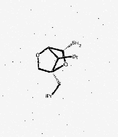 B[C@@H]1O[C@@]2(CC(C)C)COC1C2C(C)C